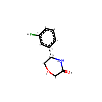 O=C1COC[C@H](c2cccc(F)c2)N1